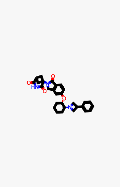 O=C1NC(=O)C2(N3Cc4cc(O[C@@H]5CCCC[C@@H]5N5CC(c6ccccc6)C5)ccc4C3=O)CC1C2